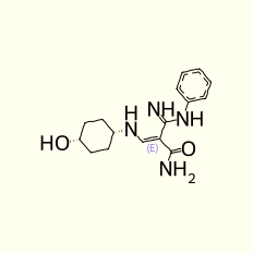 N=C(Nc1ccccc1)/C(=C\N[C@H]1CC[C@@H](O)CC1)C(N)=O